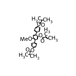 C=C(C)C(=O)Oc1ccc(-c2cc(OC(=O)/C(C)=C/C)c(-c3ccc(OC(=O)C(=C)C)cc3)cc2OC)cc1